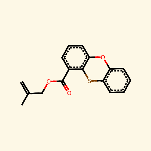 C=C(C)COC(=O)c1cccc2c1Sc1ccccc1O2